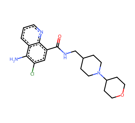 Nc1c(Cl)cc(C(=O)NCC2CCN(C3CCOCC3)CC2)c2ncccc12